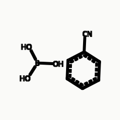 N#Cc1ccccc1.OB(O)O